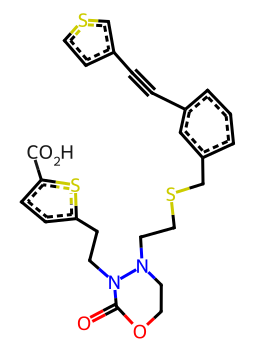 O=C(O)c1ccc(CCN2C(=O)OCCN2CCSCc2cccc(C#Cc3ccsc3)c2)s1